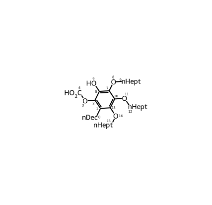 CCCCCCCCCCc1c(OC(=O)O)c(O)c(OCCCCCCC)c(OCCCCCCC)c1OCCCCCCC